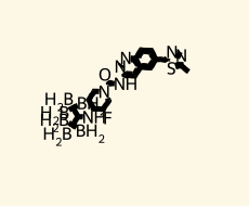 BC(B)(B)C(N[C@H]1CCN(C(=O)Nc2cc3cc(-c4nnc(C)s4)ccc3nn2)C[C@@H]1F)C(B)(B)B